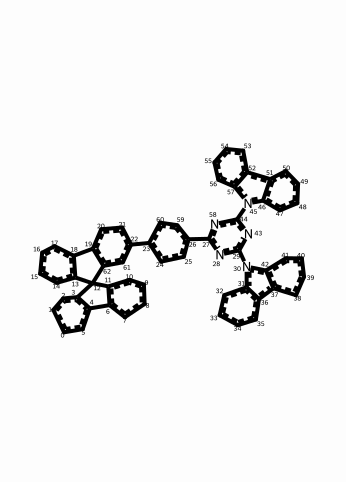 c1ccc2c(c1)-c1ccccc1C21c2ccccc2-c2ccc(-c3ccc(-c4nc(-n5c6ccccc6c6ccccc65)nc(-n5c6ccccc6c6ccccc65)n4)cc3)cc21